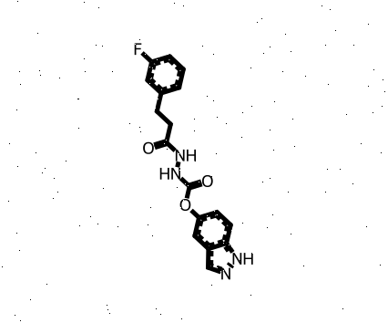 O=C(CCc1cccc(F)c1)NNC(=O)Oc1ccc2[nH]ncc2c1